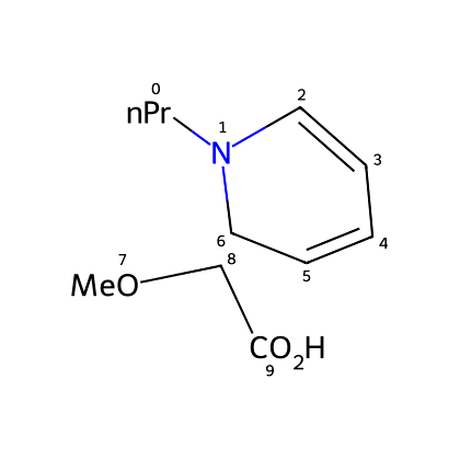 CCCN1C=CC=CC1.COCC(=O)O